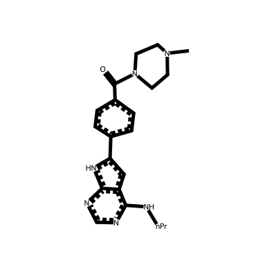 CCCNc1ncnc2[nH]c(-c3ccc(C(=O)N4CCN(C)CC4)cc3)cc12